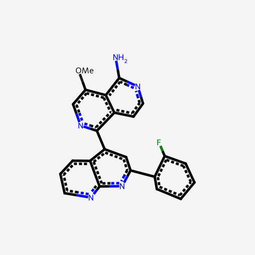 COc1cnc(-c2cc(-c3ccccc3F)nc3ncccc23)c2ccnc(N)c12